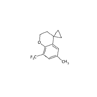 Cc1cc(C(F)(F)F)c2c(c1)C1(CCO2)CC1